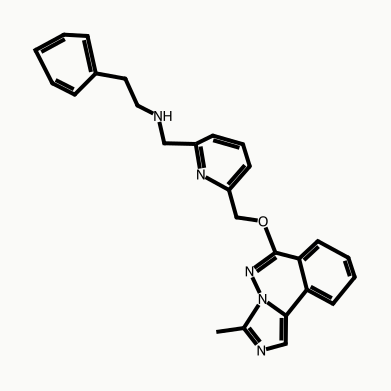 Cc1ncc2c3ccccc3c(OCc3cccc(CNCCc4ccccc4)n3)nn12